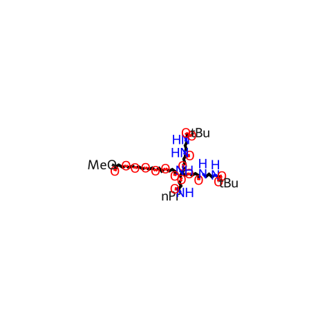 CCCNC(=O)CCOCC(COCCC(=O)NCCCNC(=O)OC(C)(C)C)(COCCC(=O)NCCCNC(=O)OC(C)(C)C)NC(=O)CCOCCOCCOCCOCCOCCC(=O)OC